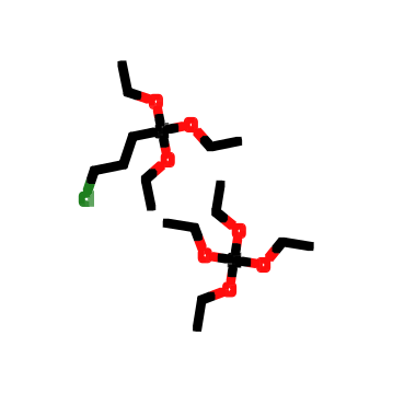 CCO[Si](CCCCl)(OCC)OCC.CCO[Si](OCC)(OCC)OCC